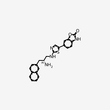 N[C@@H](CNc1ncc(-c2ccc3[nH]c(=O)oc3c2)s1)Cc1ccc2ccccc2c1